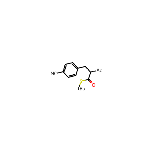 CC(=O)C(Cc1ccc(C#N)cc1)C(=O)SC(C)(C)C